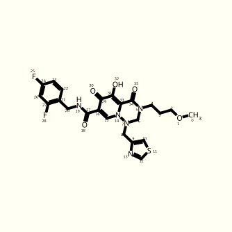 COCCCN1CN(Cc2cscn2)n2cc(C(=O)NCc3ccc(F)cc3F)c(=O)c(O)c2C1=O